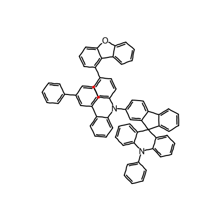 c1ccc(-c2cccc(-c3ccccc3N(c3ccc(-c4cccc5oc6ccccc6c45)cc3)c3ccc4c(c3)C3(c5ccccc5-4)c4ccccc4N(c4ccccc4)c4ccccc43)c2)cc1